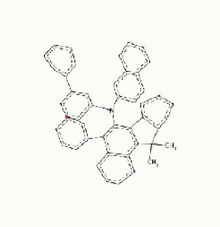 CC1(C)c2ccccc2-c2c(N(c3cccc(-c4ccccc4)c3)c3ccc4ccccc4c3)c(-c3ccccc3)c3ccccc3c21